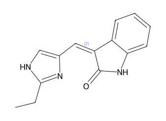 CCc1nc(/C=C2\C(=O)Nc3ccccc32)c[nH]1